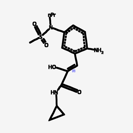 CCCN(c1ccc(N)c(/C=C(\O)C(=O)NC2CC2)c1)S(C)(=O)=O